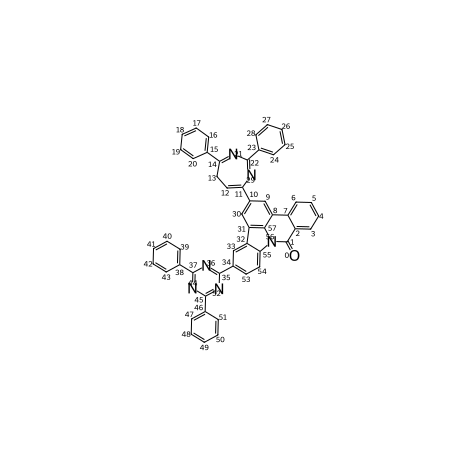 O=c1c2ccccc2c2cc(C3=CCC(c4ccccc4)=NC(c4ccccc4)=N3)cc3c4cc(-c5nc(-c6ccccc6)nc(-c6ccccc6)n5)ccc4n1c23